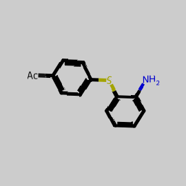 CC(=O)c1ccc(Sc2ccccc2N)cc1